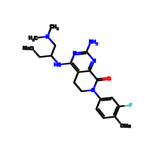 COCC(CN(C)C)Nc1nc(N)nc2c1CCN(c1ccc(OC)c(F)c1)C2=O